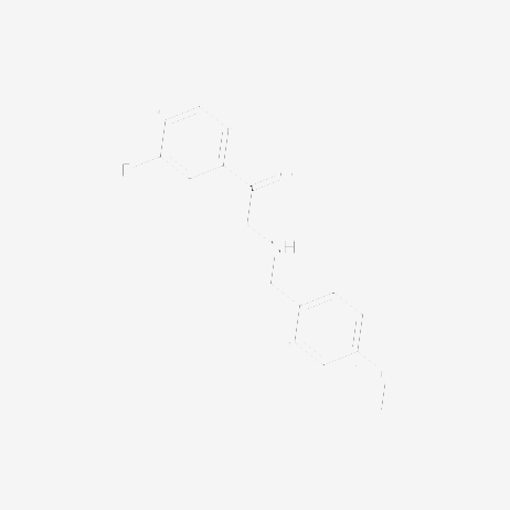 COc1ccc(CNCC(=O)c2cccc(F)c2)cc1